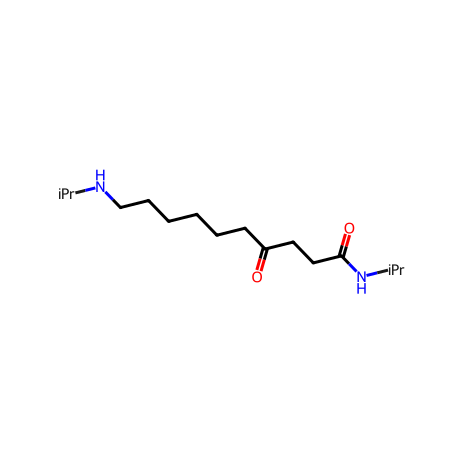 CC(C)NCCCCCCC(=O)CCC(=O)NC(C)C